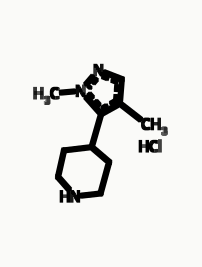 Cc1cnn(C)c1C1CCNCC1.Cl